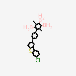 Bc1c(B)c(C)c(-c2ccc(-c3ccc4sc5cc(Cl)ccc5c4c3)cc2)c(B)c1C